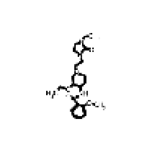 CCOC1CN(CCN2CCN(CC)C2=O)CCC1NC(=O)c1ccccc1OC